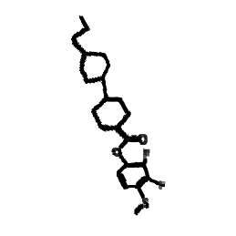 CCCC1CCC(C2CCC(C(=O)Oc3ccc(SC)c(F)c3F)CC2)CC1